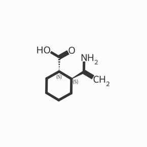 C=C(N)[C@H]1CCCC[C@@H]1C(=O)O